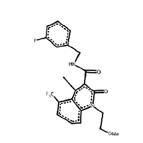 COCCn1c(=O)c(C(=O)NCc2cccc(F)c2)c(C)c2c(C(F)(F)F)cccc21